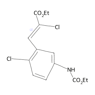 CCOC(=O)Nc1ccc(Cl)c(/C=C(\Cl)C(=O)OCC)c1